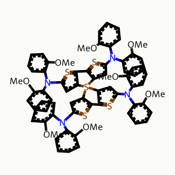 COc1ccccc1N(c1cc2c(s1)-c1sc(N(c3ccccc3OC)c3ccccc3OC)cc1S21c2cc(N(c3ccccc3OC)c3ccccc3OC)sc2-c2sc(N(c3ccccc3OC)c3ccccc3OC)cc21)c1ccccc1OC